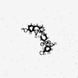 COc1ccc(Cc2csc(N3CCC(S(=O)(=O)c4cc(Cl)ccc4OC)CC3)n2)c(OC)c1